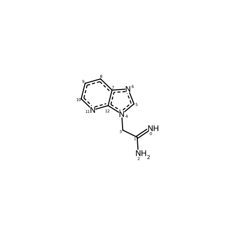 N=C(N)Cn1cnc2cccnc21